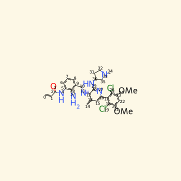 C=CC(=O)Nc1cccc(C/N=C2/C(=C)C=C(c3c(Cl)c(OC)cc(OC)c3Cl)N=C2NC2CCN(C)C2)c1N